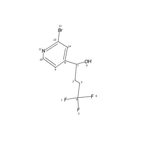 OC(CCC(F)(F)F)c1ccnc(Br)c1